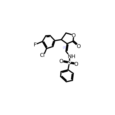 O=C1OCC(c2ccc(F)c(Cl)c2)/C1=C/NS(=O)(=O)c1ccccc1